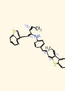 C/C=C\C(=C/c1csc2ccccc12)Nc1ccc(/C=C/C=c2/sc3ccccc3/c2=C/C)cc1